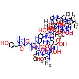 CSCCC(NC(=O)C(Cc1ccccc1)NC(=O)CNC(=O)CNC(=O)C(N)Cc1ccc(O)cc1)C(=O)NC(C(=O)NC(CO)C(=O)NC(CCC(=O)O)C(=O)NC(CCCCN)C(=O)NC(CO)C(=O)NC(CCC(N)=O)C(=O)NC(C(=O)N1CCCC1C(=O)NC(CC(C)C)C(=O)NC(C(=O)NC(C(=O)NC(CC(C)C)C(=O)O)C(C)O)C(C)C)C(C)O)C(C)O